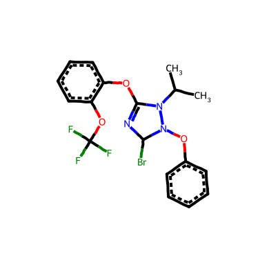 CC(C)N1C(Oc2ccccc2OC(F)(F)F)=NC(Br)N1Oc1ccccc1